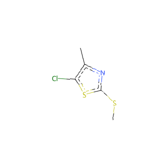 CSc1nc(C)c(Cl)s1